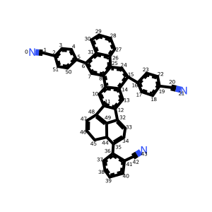 N#Cc1ccc(-c2cc3c4cc5c(cc4c(-c4ccc(C#N)cc4)cc3c3ccccc23)C2=CC=C(c3ccccc3C#N)C3CC=CC5=C23)cc1